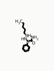 CCCCCNNN(C(N)=O)c1ccccc1